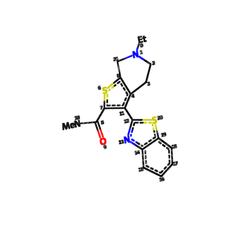 CCN1CCc2c(sc(C(=O)NC)c2-c2nc3ccccc3s2)C1